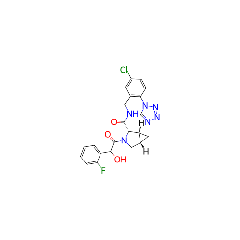 O=C(NCc1cc(Cl)ccc1-n1cnnn1)[C@@H]1[C@@H]2C[C@@H]2CN1C(=O)C(O)c1ccccc1F